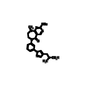 CSc1ncc2c(n1)N(C)CCN(c1cccc(-n3cc(CN(C)C(=O)O)cn3)c1)C2=O